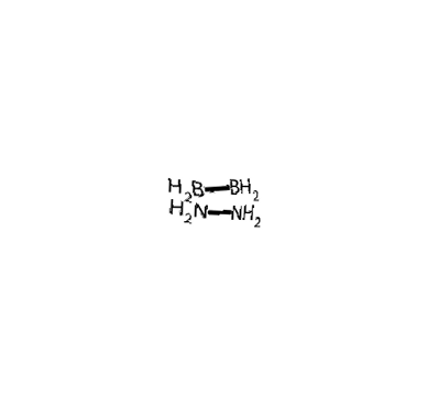 BB.NN